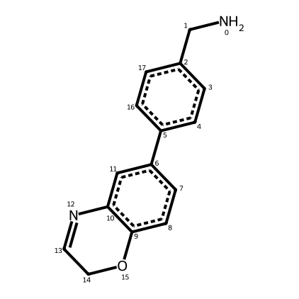 NCc1ccc(-c2ccc3c(c2)N=CCO3)cc1